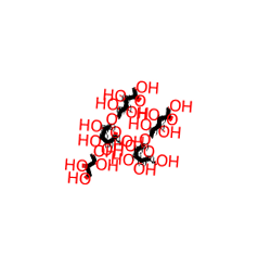 O=C(CO)[C@@H](O)[C@H](O)[C@H](O)CO[C@H]1O[C@H](CO)[C@@H](O)[C@H](O)[C@H]1O.O=C(CO)[C@@H](O)[C@H](O)[C@H](O)CO[C@H]1O[C@H](CO)[C@@H](O)[C@H](O)[C@H]1O.OCC(O)C(O)CO